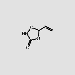 C=CC1ONC(=O)O1